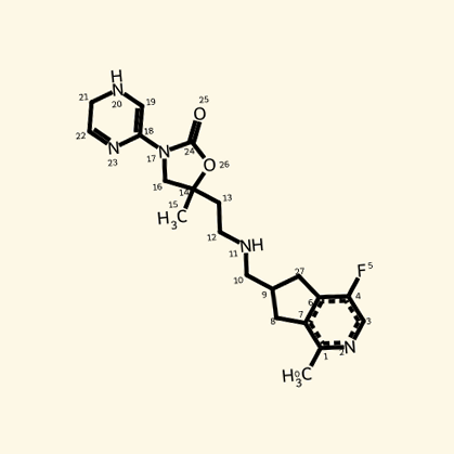 Cc1ncc(F)c2c1CC(CNCCC1(C)CN(C3=CNCC=N3)C(=O)O1)C2